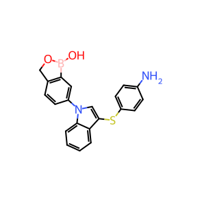 Nc1ccc(Sc2cn(-c3ccc4c(c3)B(O)OC4)c3ccccc23)cc1